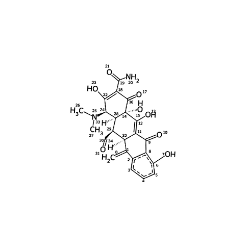 C=C1c2cccc(O)c2C(=O)C2=C(O)[C@]3(O)C(=O)C(C(N)=O)=C(O)[C@H](N(C)C)[C@@H]3[C@H](C=O)[C@H]12